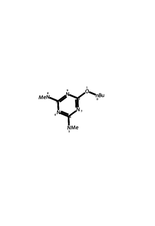 CCCCOc1nc(NC)nc(NC)n1